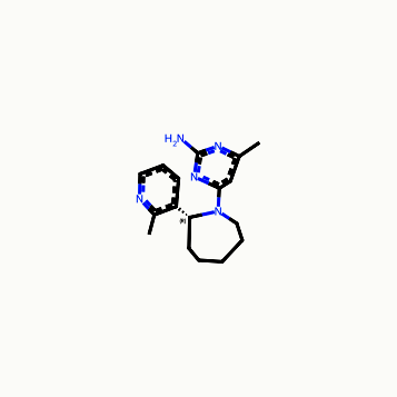 Cc1cc(N2CCCCC[C@@H]2c2cccnc2C)nc(N)n1